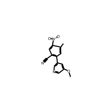 COc1cncc(-c2cc(C)c([N+](=O)[O-])cc2C#N)c1